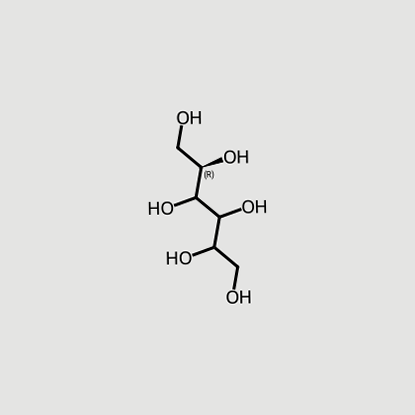 OCC(O)C(O)C(O)[C@H](O)CO